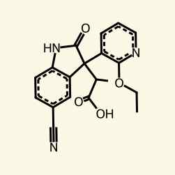 CCOc1ncccc1C1(C(C)C(=O)O)C(=O)Nc2ccc(C#N)cc21